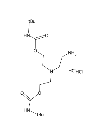 CC(C)(C)NC(=O)OCCN(CCN)CCOC(=O)NC(C)(C)C.Cl.Cl